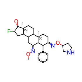 CON=C1CC2C(CC[C@]3(C)C(=O)C(F)CC23)[C@@]2(C)CCC(=NOC3CCNC3)C(c3ccccc3)C12